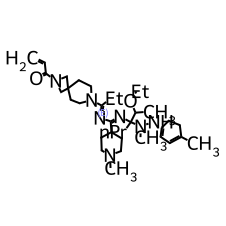 C=CC(=O)N1CC2(CCN(/C(CC)=N/C(=NC(CCC)(C(C)OCC)N(C)NC3=CC=C(C)CC3)C3CCN(C)CC3)CC2)C1